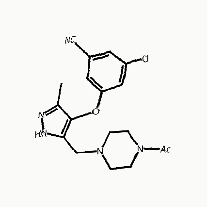 CC(=O)N1CCN(Cc2[nH]nc(C)c2Oc2cc(Cl)cc(C#N)c2)CC1